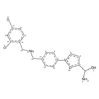 NC(O)c1ccc(-c2ccc(CNCc3ccc(Cl)cc3Cl)cc2)o1